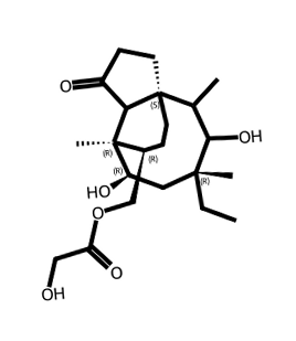 CC[C@]1(C)C[C@@H](O)[C@@]2(C)C3C(=O)CC[C@@]3(CC[C@H]2COC(=O)CO)C(C)C1O